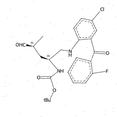 C[C@H](C=O)C[C@@H](CNc1ccc(Cl)cc1C(=O)c1ccccc1F)NC(=O)OC(C)(C)C